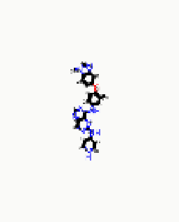 Cc1cc(Nc2ncnc3cnc(NC4CCNCC4)nc23)ccc1Oc1ccc2c(c1)ncn2C